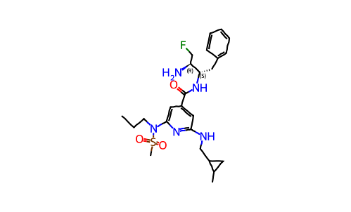 CCCN(c1cc(C(=O)N[C@@H](Cc2ccccc2)[C@@H](N)CF)cc(NCC2CC2C)n1)S(C)(=O)=O